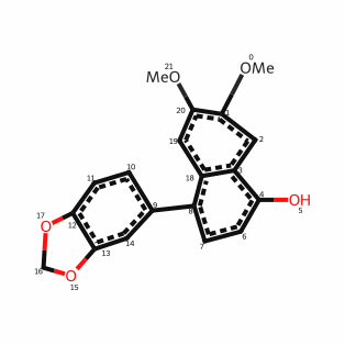 COc1cc2c(O)ccc(-c3ccc4c(c3)OCO4)c2cc1OC